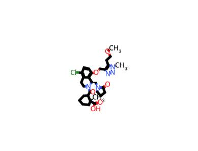 COCCc1c(COc2ccc(Cl)c3c2[C@@H](CN2CCCC2=O)N(C(=O)C2CCCC[C@@]2(C)C(=O)O)CC3)nnn1C